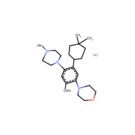 CCCCN1CCN(c2cc(OC)c(N3CCOCC3)cc2C2CCC(C)(C)CC2)CC1.Cl